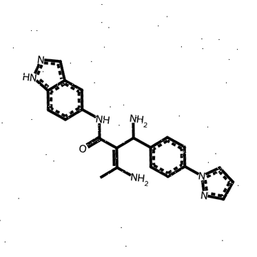 C/C(N)=C(\C(=O)Nc1ccc2[nH]ncc2c1)C(N)c1ccc(-n2cccn2)cc1